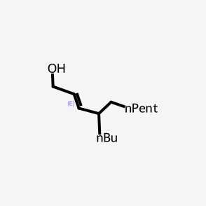 CCCCCCC(/C=C/CO)CCCC